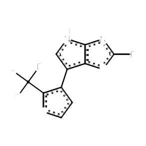 Fc1nc2[nH]cc(-c3ccsc3C(F)(F)F)c2s1